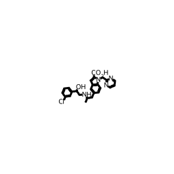 CC(Cc1ccc2c(c1)cc(C(=O)O)n2Cc1ncccn1)NCC(O)c1cccc(Cl)c1